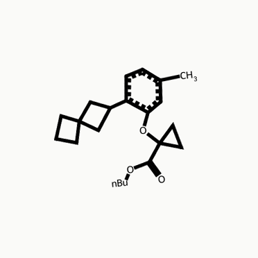 CCCCOC(=O)C1(Oc2cc(C)ccc2C2CC3(CCC3)C2)CC1